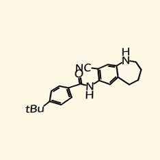 CC(C)(C)c1ccc(C(=O)Nc2cc3c(cc2C#N)NCCCC3)cc1